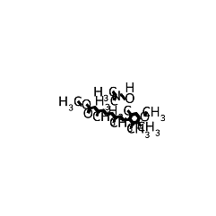 CCOC(=O)/C=C(C)/C=C/C=C(C)/C=C/c1c(C)cc(OC)c(C)c1C.CN(C)CCO